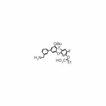 CC[C@@H](Oc1nc(Oc2cc(OCC(C)C)cc(-c3cccc(CN)c3)c2)c(F)cc1F)C(=O)O